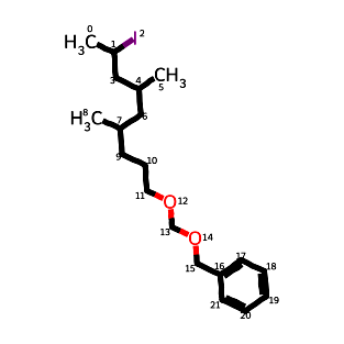 CC(I)CC(C)CC(C)CCCOCOCc1ccccc1